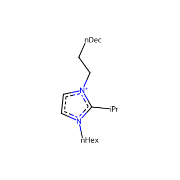 CCCCCCCCCCCC[n+]1ccn(CCCCCC)c1C(C)C